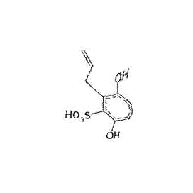 C=CCc1c(O)ccc(O)c1S(=O)(=O)O